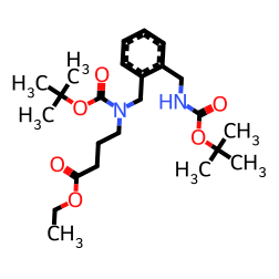 CCOC(=O)CCCN(Cc1ccccc1CNC(=O)OC(C)(C)C)C(=O)OC(C)(C)C